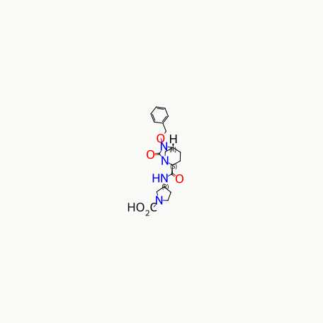 O=C(N[C@@H]1CCN(C(=O)O)C1)[C@@H]1CC[C@@H]2CN1C(=O)N2OCc1ccccc1